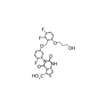 O=C(O)c1scc2[nH]c(=O)n(-c3cc(OCc4c(OCCCO)ccc(F)c4F)ccc3F)c(=O)c12